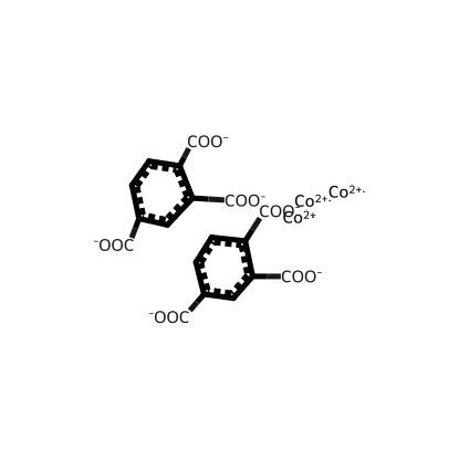 O=C([O-])c1ccc(C(=O)[O-])c(C(=O)[O-])c1.O=C([O-])c1ccc(C(=O)[O-])c(C(=O)[O-])c1.[Co+2].[Co+2].[Co+2]